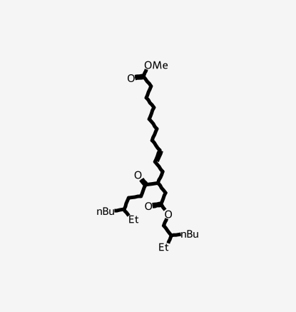 CCCCC(CC)CCC(=O)C(C/C=C/CCCCCCC(=O)OC)CC(=O)OCC(CC)CCCC